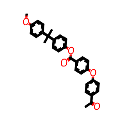 COc1ccc(C(C)(C)c2ccc(OC(=O)c3ccc(Oc4ccc(C(C)=O)cc4)cc3)cc2)cc1